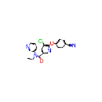 CCN(C(=O)c1cnc(Oc2ccc(C#N)cc2)c(Cl)c1)c1cccnc1